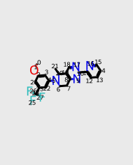 COc1cc(N2CCc3nc(-c4ccccn4)ncc3C2C)cc(C(F)(F)F)c1